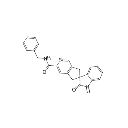 O=C(NCc1ccccc1)c1cc2c(cn1)CC1(C2)C(=O)Nc2ccccc21